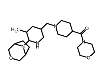 CC1CC(CN2CCC(C(=O)N3CCOCC3)CC2)CNC1N1C2CCC1COC2